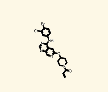 C=CC(=O)N1CCC(Oc2cc3c(Nc4ccc(Br)c(Cl)c4)ncnc3cn2)CC1